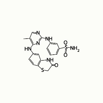 Cc1cnc(Nc2cccc(S(N)(=O)=O)c2)nc1Nc1ccc2c(c1)NC(=O)CS2